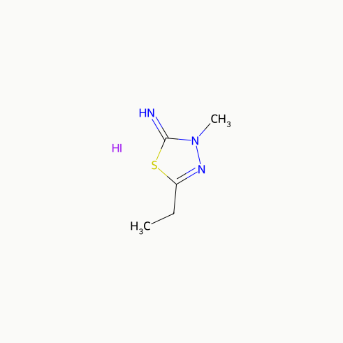 CCc1nn(C)c(=N)s1.I